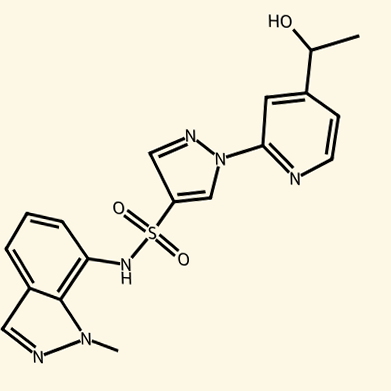 CC(O)c1ccnc(-n2cc(S(=O)(=O)Nc3cccc4cnn(C)c34)cn2)c1